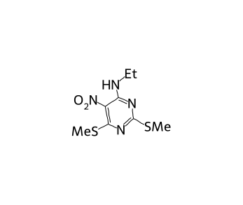 CCNc1nc(SC)nc(SC)c1[N+](=O)[O-]